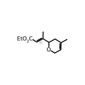 CCOC(=O)/C=C(\C)C1CC(C)=CCO1